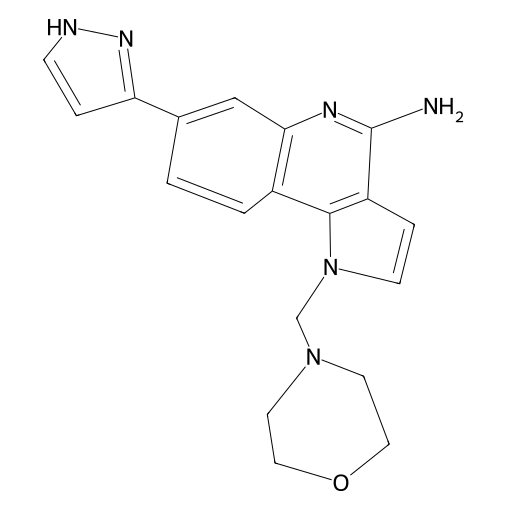 Nc1nc2cc(-c3cc[nH]n3)ccc2c2c1ccn2CN1CCOCC1